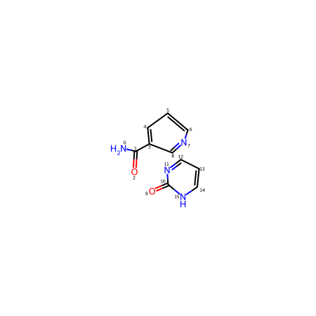 NC(=O)c1cccnc1.O=c1nccc[nH]1